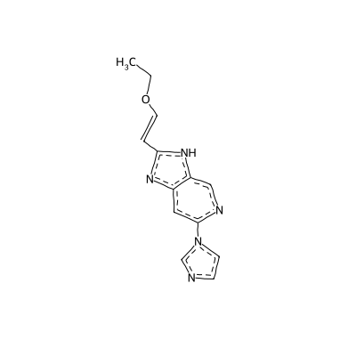 CCOC=Cc1nc2cc(-n3ccnc3)ncc2[nH]1